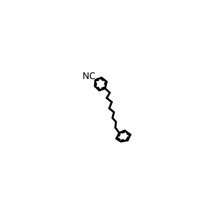 N#Cc1ccc(CCCCCCCCc2ccccc2)cc1